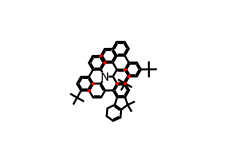 CC(C)(C)c1ccc(-c2ccccc2N(C2=C(c3cccc4c3C3=C(C=CCC3)C4(C)C)C=CCC2)C2CC=CC=C2c2cccc3cccc(-c4cc(C(C)(C)C)cc(C(C)(C)C)c4)c23)cc1